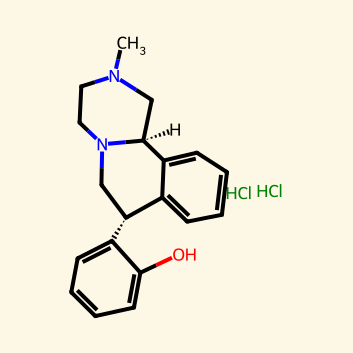 CN1CCN2C[C@@H](c3ccccc3O)c3ccccc3[C@@H]2C1.Cl.Cl